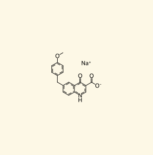 COc1ccc(Cc2ccc3[nH]cc(C(=O)[O-])c(=O)c3c2)cc1.[Na+]